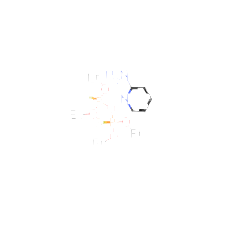 CCOP(=S)(OCC)OP(=S)(OCC)OCC.Nc1ccccn1